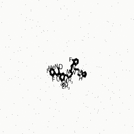 CNC(=O)c1c(-c2ccc(F)cc2F)oc2cc(N(C)S(C)(=O)=O)c(-c3ccc4nc(CN5CC[C@]6(C=C7C[C@@H]76)C5)n5c6cccc(F)c6cc5c4n3)cc12